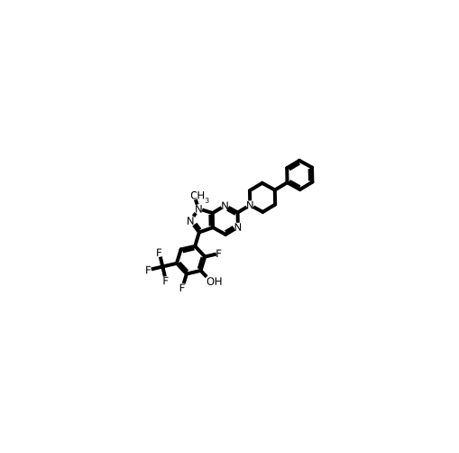 Cn1nc(-c2cc(C(F)(F)F)c(F)c(O)c2F)c2cnc(N3CCC(c4ccccc4)CC3)nc21